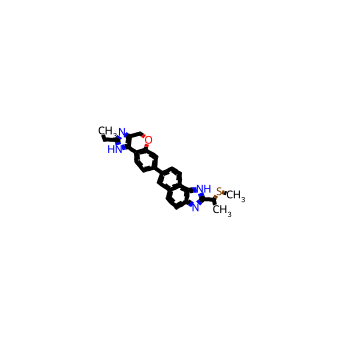 CCc1nc2c([nH]1)-c1ccc(-c3ccc4c(ccc5nc(C(C)SC)[nH]c54)c3)cc1OC2